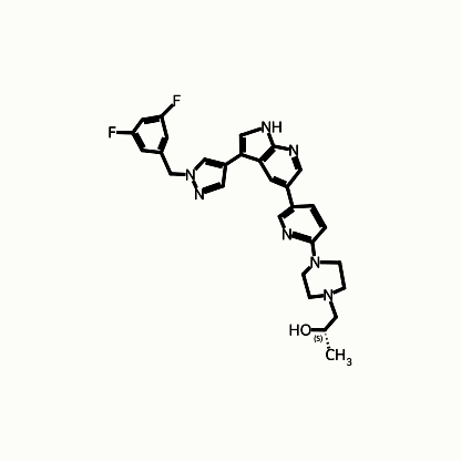 C[C@H](O)CN1CCN(c2ccc(-c3cnc4[nH]cc(-c5cnn(Cc6cc(F)cc(F)c6)c5)c4c3)cn2)CC1